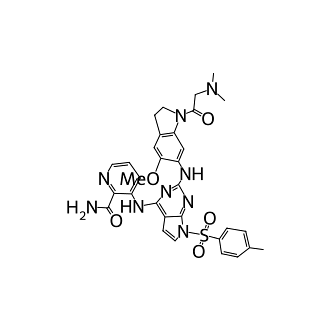 COc1cc2c(cc1Nc1nc(Nc3cccnc3C(N)=O)c3ccn(S(=O)(=O)c4ccc(C)cc4)c3n1)N(C(=O)CN(C)C)CC2